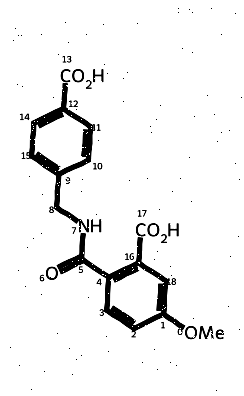 COc1ccc(C(=O)NCc2ccc(C(=O)O)cc2)c(C(=O)O)c1